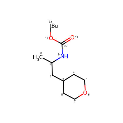 CC(CC1CCOCC1)NC(=O)OC(C)(C)C